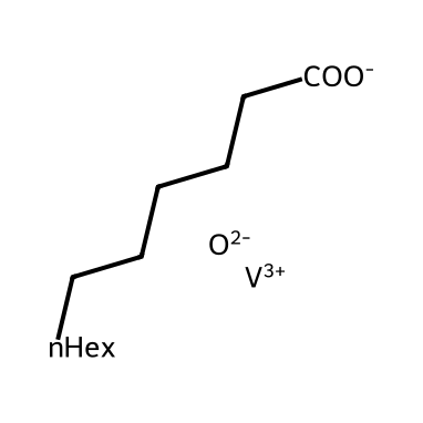 CCCCCCCCCCCC(=O)[O-].[O-2].[V+3]